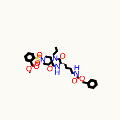 CCCN1C(=O)[C@H](CCCCNC(=O)OCc2ccccc2)NC(=O)C12CCN(S(=O)(=O)c1ccccc1C(=O)OC)CC2